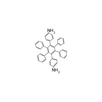 Nc1ccc(-c2c(-c3ccccc3)c(-c3ccccc3)c(-c3ccc(N)cc3)c(-c3ccccc3)c2-c2ccccc2)cc1